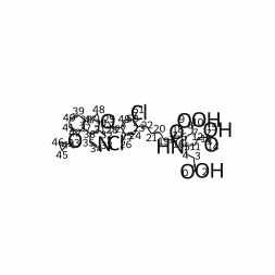 O=C(O)CCC(CCC(=O)O)(CCC(=O)O)NC(=O)CCCCc1cc(Cl)c(COC2(c3cnccc3-c3ccccc3OC3CC3)CC2)cc1Cl